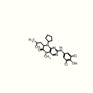 CC(C)CC1C(=O)N(C)c2cnc(Nc3cc(Cl)c(O)c(Cl)c3)nc2N1C1CCCC1